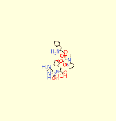 CCN(c1ccccn1)C(C)C(=O)O.NC(Cc1ccccc1)C(=O)O.NC(Cc1ccccc1)C(=O)O.NC1CN[C@H](C(=O)O)C1